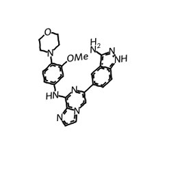 COc1cc(Nc2nc(-c3ccc4[nH]nc(N)c4c3)cn3ccnc23)ccc1N1CCOCC1